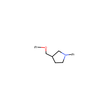 CC(C)OCC1CCN(C(C)C)C1